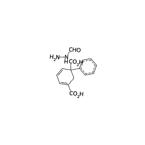 NNC=O.O=C(O)C1=CC=CC(C(=O)O)(c2ccccc2)C1